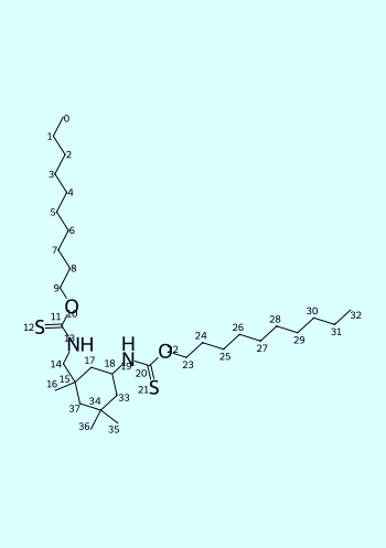 CCCCCCCCCCOC(=S)NCC1(C)CC(NC(=S)OCCCCCCCCCC)CC(C)(C)C1